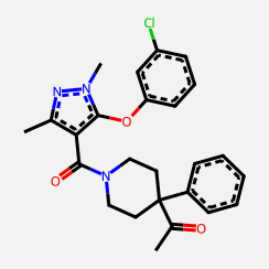 CC(=O)C1(c2ccccc2)CCN(C(=O)c2c(C)nn(C)c2Oc2cccc(Cl)c2)CC1